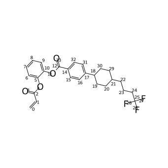 C=CC(=O)Oc1ccccc1OC(=O)c1ccc(C2CCC(CCCC(F)(F)F)CC2)cc1